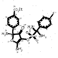 BC(B)(c1ccc(F)cc1)S(=O)(=O)OC1=C(N)O[C@](B)(c2ccc(C(=O)OCC)cc2)C1=O